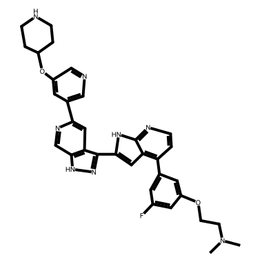 CN(C)CCOc1cc(F)cc(-c2ccnc3[nH]c(-c4n[nH]c5cnc(-c6cncc(OC7CCNCC7)c6)cc45)cc23)c1